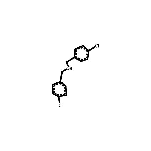 Clc1ccc(C[Se]Cc2ccc(Cl)cc2)cc1